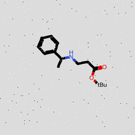 CC(NCCC(=O)OC(C)(C)C)c1ccccc1